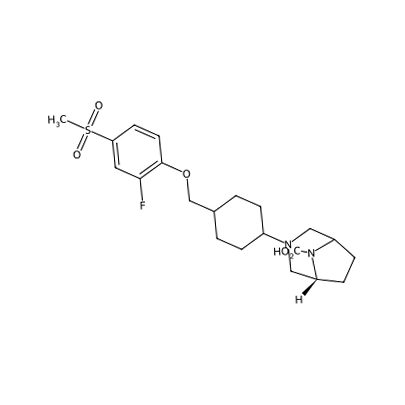 CS(=O)(=O)c1ccc(OCC2CCC(N3CC4CC[C@H](C3)N4C(=O)O)CC2)c(F)c1